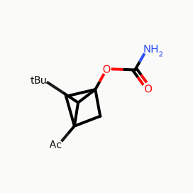 CC(=O)C12CC(OC(N)=O)(C1)C2C(C)(C)C